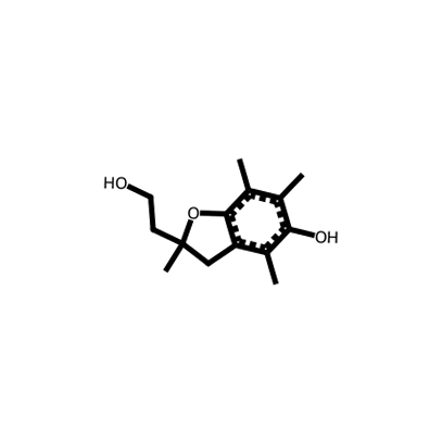 Cc1c(C)c2c(c(C)c1O)CC(C)(CCO)O2